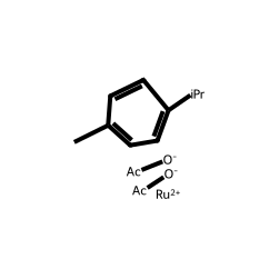 CC(=O)[O-].CC(=O)[O-].Cc1ccc(C(C)C)cc1.[Ru+2]